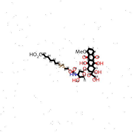 COc1cccc2c1C(=O)c1c(O)c3c(c(O)c1C2=O)C[C@@](O)(C(=O)CO)C[C@@H]3O[C@H]1C[C@H](NC(=O)OCCSSCCCCCCCC(=O)O)[C@H](O)[C@H](C)O1